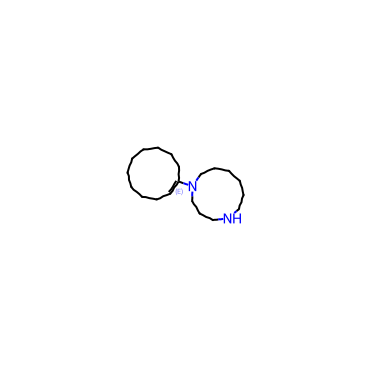 C1=C(/N2CCCCCCNCCC2)CCCCCCCCC/1